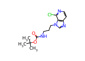 CC(C)(C)OC(=O)NCCCn1cnc2ccnc(Cl)c21